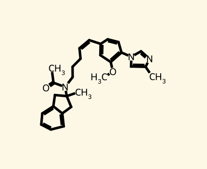 COc1cc(/C=C\CCCN(C(C)=O)C2(C)Cc3ccccc3C2)ccc1-n1cnc(C)c1